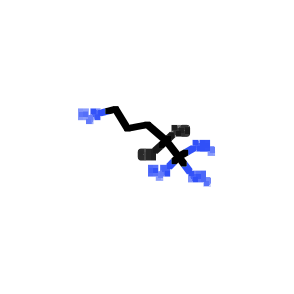 NCCCC(N=O)(N=O)C(N)(N)N